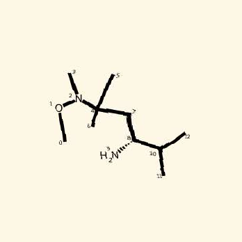 CON(C)C(C)(C)C[C@@H](N)C(C)C